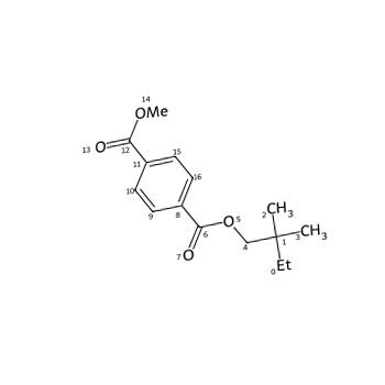 CCC(C)(C)COC(=O)c1ccc(C(=O)OC)cc1